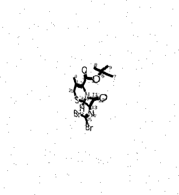 CC1=C(C(=O)OC(C)(C)C)N2C(=O)C(N=C(Br)Br)[C@@H]2SC1